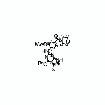 CCOc1nc(Nc2ccc(C(=O)N3CCOCC3)cc2OC)nc2[nH]nc(C)c12